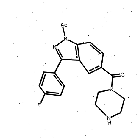 CC(=O)n1nc(-c2ccc(F)cc2)c2cc(C(=O)N3CCNCC3)ccc21